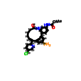 COC(=O)Nc1ccc2c(c1)NC(=O)CCC/C=C(/c1ccc(Cl)cn1)c1cc(P)cc-2c1